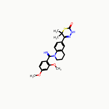 COc1ccc(C(=N)N2CCCc3cc(C4=NNC(=O)SC4(C)C)ccc32)c(OC)c1